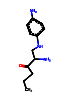 CCCC(=O)C(N)CNc1ccc(N)cc1